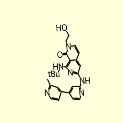 Cc1cc(-c2ccnc(Nc3cc4ccn(CCO)c(=O)c4c(NC(C)(C)C)n3)c2)ccn1